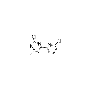 Cc1nc(Cl)nc(-c2cccc(Cl)n2)n1